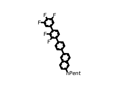 CCCCCc1ccc2cc(-c3ccc(-c4ccc(-c5cc(F)c(F)c(F)c5)c(F)c4F)cc3)ccc2c1